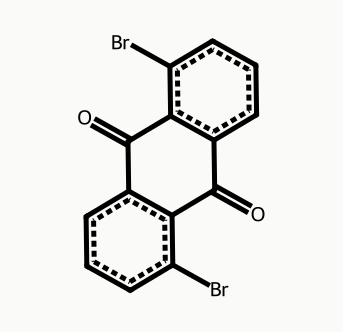 O=C1c2cccc(Br)c2C(=O)c2cccc(Br)c21